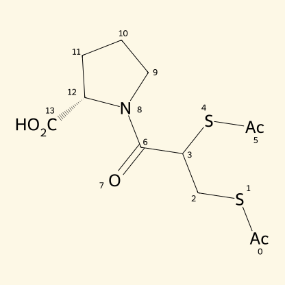 CC(=O)SCC(SC(C)=O)C(=O)N1CCC[C@H]1C(=O)O